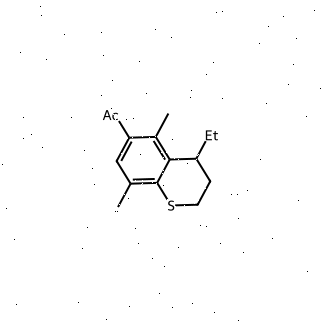 CCC1CCSc2c(C)cc(C(C)=O)c(C)c21